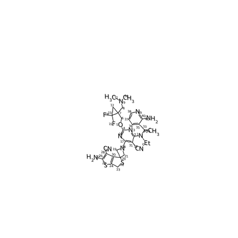 CCN(c1nc(OCC2(CN(C)C)CC2(F)F)nc(N2CC3(C2)SCc2sc(N)c(C#N)c23)c1C#N)[C@H](C)c1cccnc1N